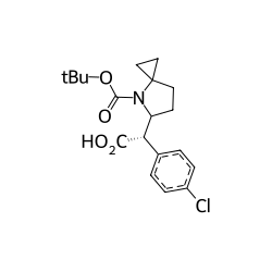 CC(C)(C)OC(=O)N1C([C@@H](C(=O)O)c2ccc(Cl)cc2)CCC12CC2